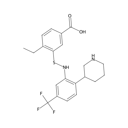 CCc1ccc(C(=O)O)cc1SNc1cc(C(F)(F)F)ccc1C1CCCNC1